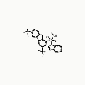 C[SiH](C)[Zr]([Cl])([Cl])([c]1cc(C(C)(C)C)cc2c1Cc1ccc(C(C)(C)C)cc1-2)[CH]1C=Cc2ccccc21